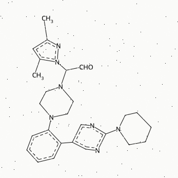 Cc1cc(C)n(C(C=O)N2CCN(c3ccccc3-c3cnc(N4CCCCC4)nc3)CC2)n1